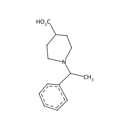 CC(c1ccccc1)N1CCC(C(=O)O)CC1